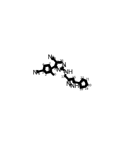 Cc1cc(C#N)ccc1-c1nc(NCc2cc(-c3ccccc3)[nH]n2)ncc1C#N